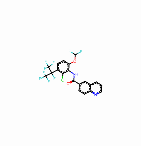 O=C(Nc1c(OC(F)F)ccc(C(F)(C(F)(F)F)C(F)(F)F)c1Cl)c1ccc2ncccc2c1